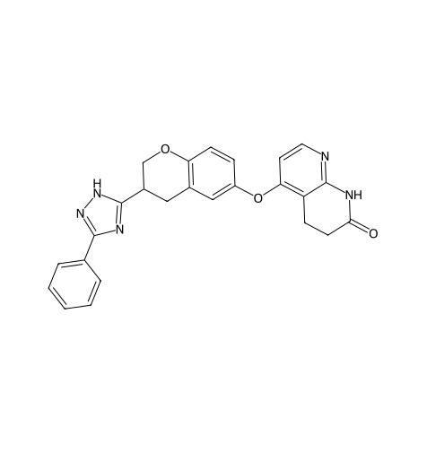 O=C1CCc2c(Oc3ccc4c(c3)CC(c3nc(-c5ccccc5)n[nH]3)CO4)ccnc2N1